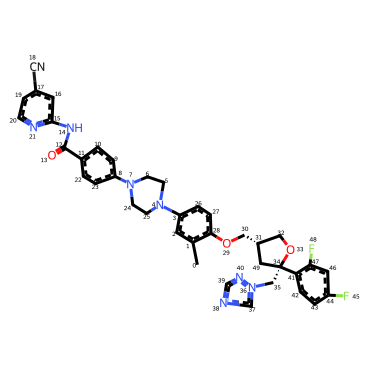 Cc1cc(N2CCN(c3ccc(C(=O)Nc4cc(C#N)ccn4)cc3)CC2)ccc1OC[C@@H]1CO[C@@](Cn2cncn2)(c2ccc(F)cc2F)C1